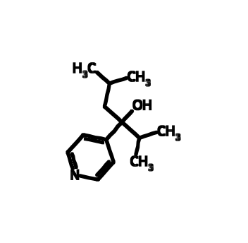 CC(C)CC(O)(c1ccncc1)C(C)C